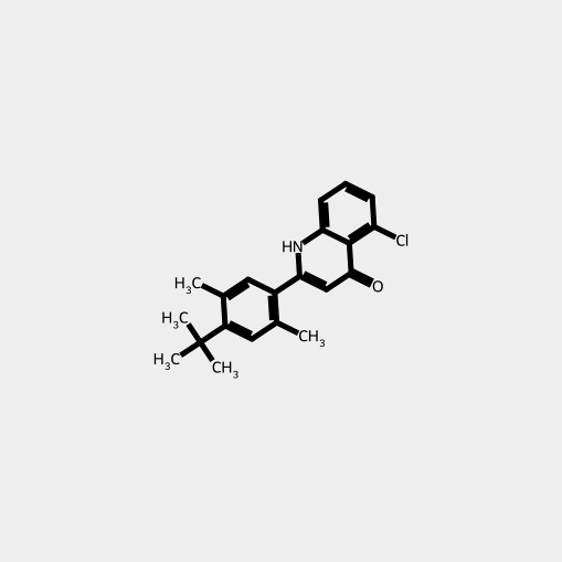 Cc1cc(C(C)(C)C)c(C)cc1-c1cc(=O)c2c(Cl)cccc2[nH]1